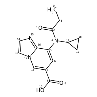 CCC(=O)N(c1cc(C(=O)O)cn2ccnc12)C1CC1